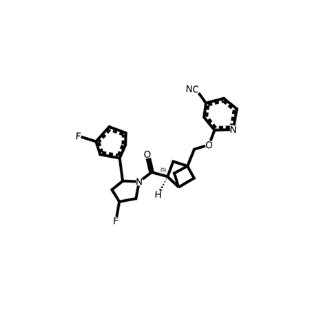 N#Cc1ccnc(OCC23CC(C2)[C@@H](C(=O)N2CC(F)CC2c2cccc(F)c2)C3)c1